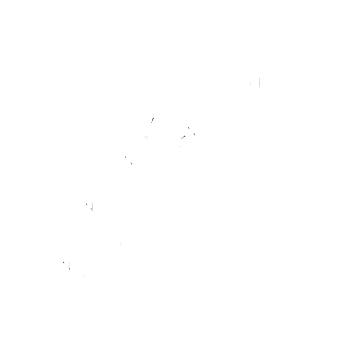 C=C/C(=C\c1c(N)ccc(=O)n1CCN1CC[C@H](NCc2ccc(Cl)c(Cl)c2)[C@H](O)C1)OC